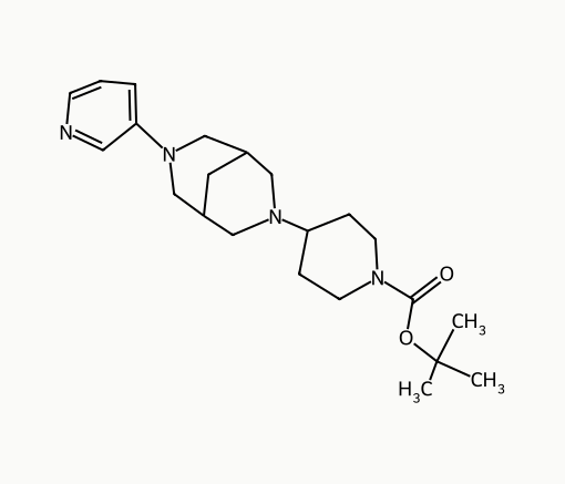 CC(C)(C)OC(=O)N1CCC(N2CC3CC(CN(c4cccnc4)C3)C2)CC1